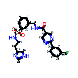 O=C(NCc1cccc(S(=O)(=O)NCCc2c[nH]cn2)c1)c1cnc(-c2cccc(F)c2)nc1